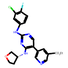 CCOC(=O)c1cncc(-c2cnc(Nc3ccc(F)c(Cl)c3)nc2N[C@@H]2CCOC2)c1